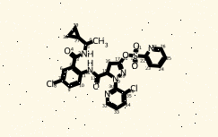 CC(NC(=O)c1cc(Cl)ccc1NC(=O)C1CC(OS(=O)(=O)c2ccccn2)=NN1c1ncccc1Cl)C1CC1